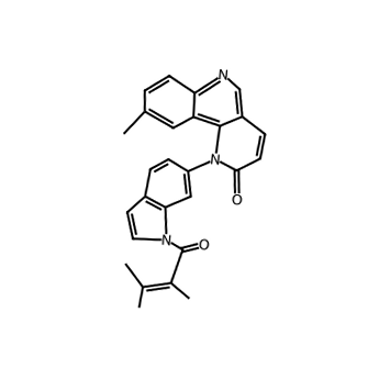 CC(C)=C(C)C(=O)n1ccc2ccc(-n3c(=O)ccc4cnc5ccc(C)cc5c43)cc21